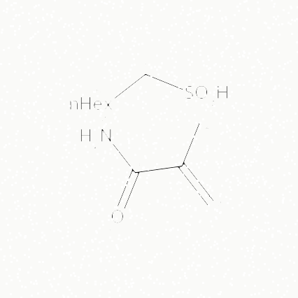 C=C(C)C(N)=O.CCCCCCCS(=O)(=O)O